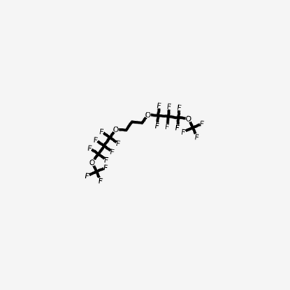 FC(F)(F)OC(F)(F)C(F)(F)C(F)(F)OCCCOC(F)(F)C(F)(F)C(F)(F)OC(F)(F)F